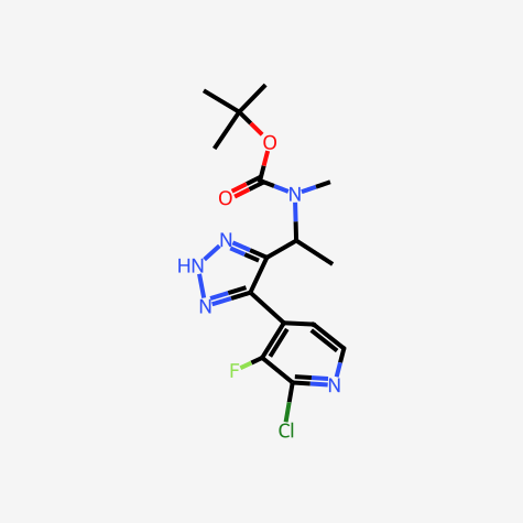 CC(c1n[nH]nc1-c1ccnc(Cl)c1F)N(C)C(=O)OC(C)(C)C